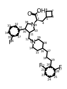 O=C(O)[C@@H](CC1CCC1)N1CC(CN2CCC(CCCc3c(F)cccc3F)CC2)C(c2cccc(F)c2)C1